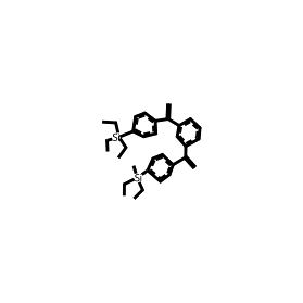 C=C(c1ccc([Si](C)(CC)CC)cc1)c1cccc(C(=C)c2ccc([Si](CC)(CC)CC)cc2)c1